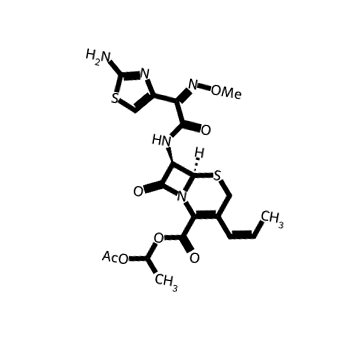 C/C=C\C1=C(C(=O)OC(C)OC(C)=O)N2C(=O)[C@@H](NC(=O)/C(=N\OC)c3csc(N)n3)[C@H]2SC1